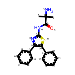 CC(C)(N)C(=O)Nc1nc(-c2ccccc2)c(-c2ccccc2)s1